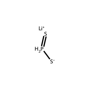 S=[PH2][S-].[Li+]